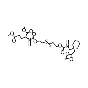 COC(=O)CCC(NC(=O)OCCSSCCOC(=O)NCC1(CC2OC(C)O2)CCCCC1)C(=O)OC